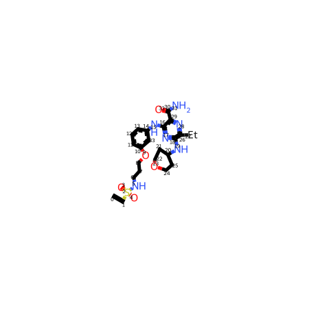 C=CS(=O)(=O)NCCCOc1cccc(Nc2nc(NC3CCOCC3)c(CC)nc2C(N)=O)c1